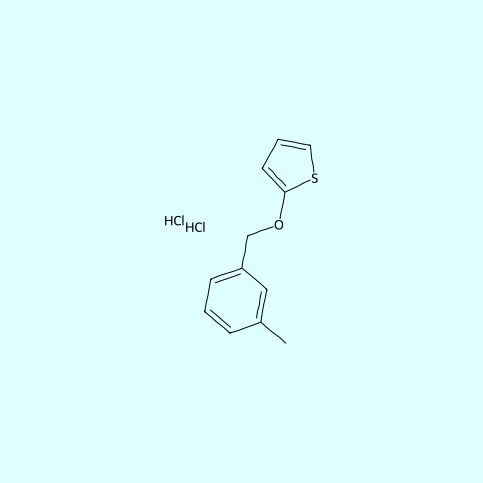 Cc1cccc(COc2cccs2)c1.Cl.Cl